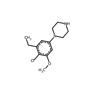 CCc1cc(N2CCNCC2)cc(OC)c1Cl